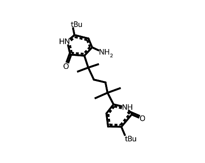 CC(C)(C)c1cc(N)c(C(C)(C)CCC(C)(C)c2ccc(C(C)(C)C)c(=O)[nH]2)c(=O)[nH]1